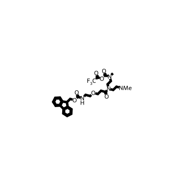 CNCCN(CCN(C)C(=O)OC(=O)C(F)(F)F)C(=O)CCOCCNC(=O)OCC1c2ccccc2-c2ccccc21